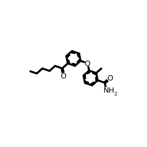 CCCCCC(=O)c1cccc(Oc2cccc(C(N)=O)c2C)c1